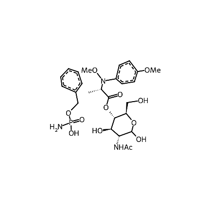 COc1ccc(N(OC)[C@@H](C)C(=O)O[C@H]2[C@H](O)[C@@H](NC(C)=O)C(O)O[C@@H]2CO)cc1.NP(=O)(O)OCc1ccccc1